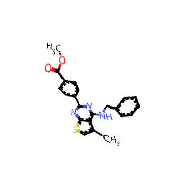 COC(=O)c1ccc(-c2nc(NCc3ccccc3)c3c(C)csc3n2)cc1